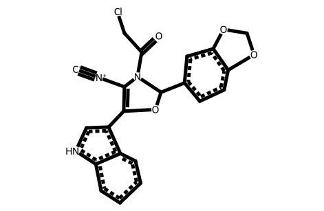 [C-]#[N+]C1=C(c2c[nH]c3ccccc23)OC(c2ccc3c(c2)OCO3)N1C(=O)CCl